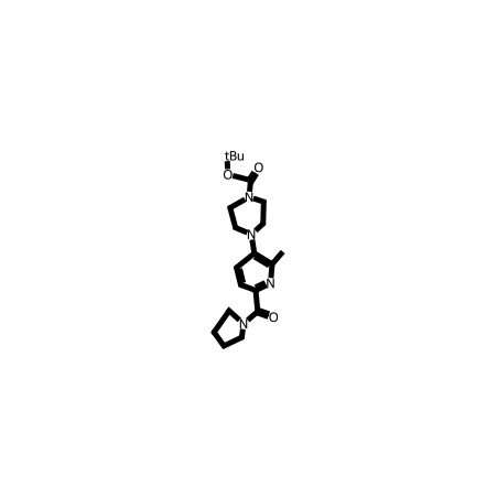 Cc1nc(C(=O)N2CCCC2)ccc1N1CCN(C(=O)OC(C)(C)C)CC1